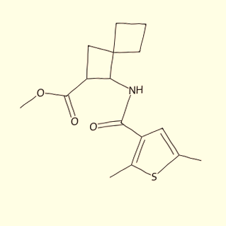 COC(=O)C1CC2(CCC2)C1NC(=O)c1cc(C)sc1C